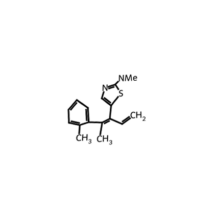 C=C/C(=C(\C)c1ccccc1C)c1cnc(NC)s1